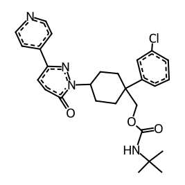 CC(C)(C)NC(=O)OCC1(c2cccc(Cl)c2)CCC(n2nc(-c3ccncc3)ccc2=O)CC1